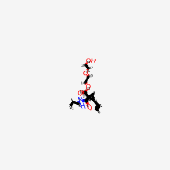 C=CC1CC1(C(=O)NCCC)C(=O)OCCOCCO